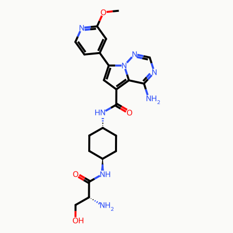 COc1cc(-c2cc(C(=O)N[C@H]3CC[C@H](NC(=O)[C@H](N)CO)CC3)c3c(N)ncnn23)ccn1